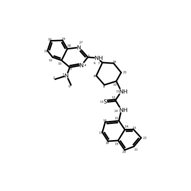 CN(C)c1nc(NC2CCC(NC(=S)Nc3cccc4ccccc34)CC2)nc2ccccc12